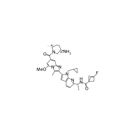 COc1cc(C(=O)N2C[C@H](N)CC[C@H]2C)cc2nc(-c3cc4ccc(C(C)NC(=O)C56CC(F)(C5)C6)nc4n3CC3CC3)c(C)n12